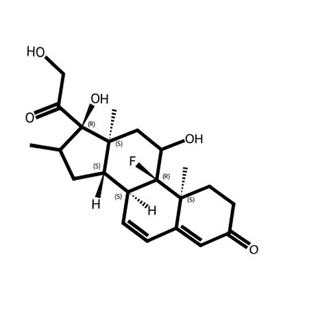 CC1C[C@H]2[C@@H]3C=CC4=CC(=O)CC[C@]4(C)[C@@]3(F)C(O)C[C@]2(C)[C@@]1(O)C(=O)CO